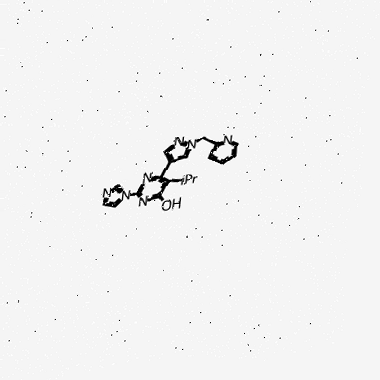 CC(C)c1c(O)nc(-n2ccnc2)nc1-c1cnn(Cc2ccccn2)c1